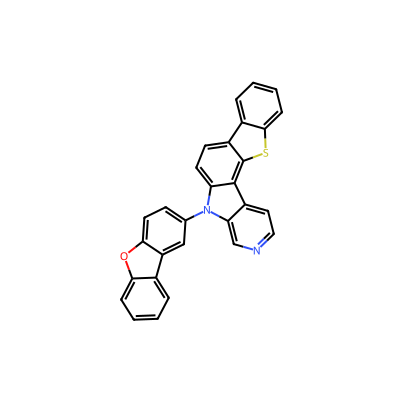 c1ccc2c(c1)oc1ccc(-n3c4cnccc4c4c5sc6ccccc6c5ccc43)cc12